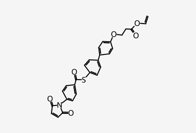 C=COC(=O)CCOc1ccc(-c2ccc(SC(=O)c3ccc(N4C(=O)C=CC4=O)cc3)cc2)cc1